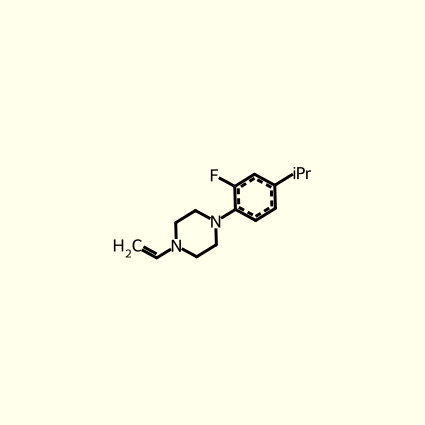 C=CN1CCN(c2ccc(C(C)C)cc2F)CC1